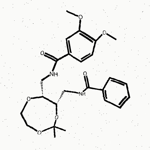 COc1ccc(C(=O)NC[C@H]2OCCOC(C)(C)O[C@H]2CNC(=O)c2ccccc2)cc1OC